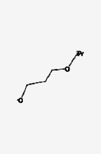 CC(C)OCCC[O]